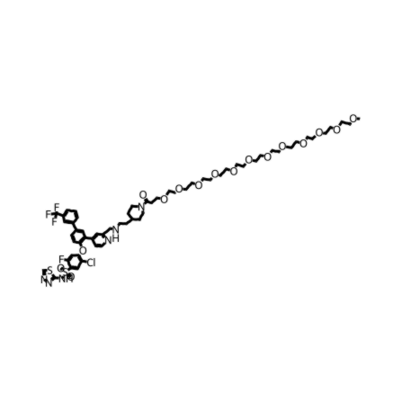 COCCOCCOCCOCCOCCOCCOCCOCCOCCOCCOCCOCCC(=O)N1CCC(CCNCc2cc(-c3cc(-c4cccc(C(F)(F)F)c4)ccc3Oc3cc(F)c(S(=O)(=O)Nc4nncs4)cc3Cl)ccn2)CC1